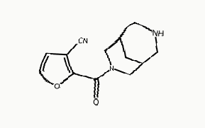 N#Cc1ccoc1C(=O)N1CC2CNCC(C2)C1